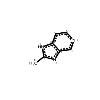 Cc1nc2[c]nccc2[nH]1